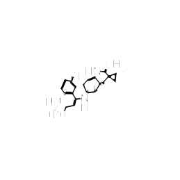 C#CC1(C(=C)NC2=CCC(N/C(=C/C(=C)C(C)(C)C)c3cc(Cl)ccc3C)CC2)CC1